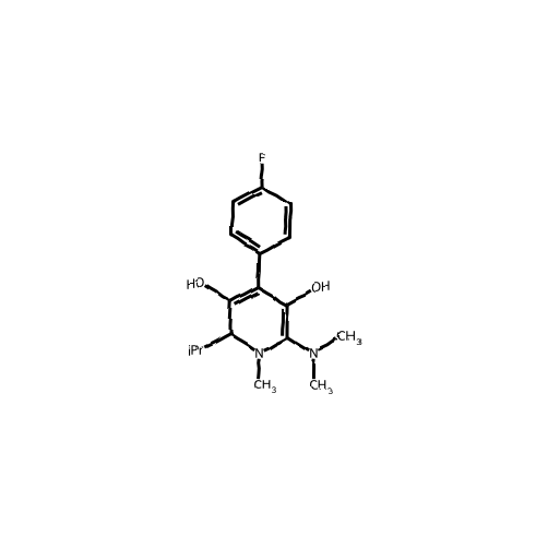 CC(C)C1C(O)=C(c2ccc(F)cc2)C(O)=C(N(C)C)N1C